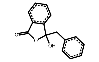 O=C1OC(O)(Cc2ccccc2)c2ccccc21